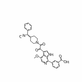 [C-]#[N+]C(=C1CCN(C(=O)C(=O)c2c[nH]c3c(-c4cccc(C(=O)O)c4)ncc(OC)c23)CC1)c1ccccc1